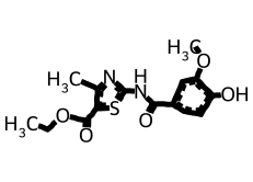 CCOC(=O)c1sc(NC(=O)c2ccc(O)c(OC)c2)nc1C